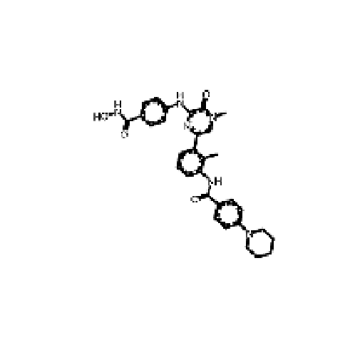 Cc1c(NC(=O)c2ccc(N3CCCCC3)cc2)cccc1-c1cn(C)c(=O)c(Nc2ccc(C(=O)NO)cc2)n1